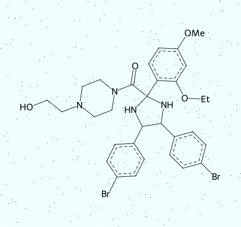 CCOc1cc(OC)ccc1C1(C(=O)N2CCN(CCO)CC2)NC(c2ccc(Br)cc2)C(c2ccc(Br)cc2)N1